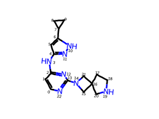 c1cc(Nc2cc(C3CC3)[nH]n2)nc(N2CC3(CCNC3)C2)n1